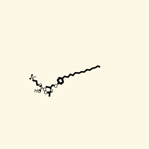 CCCCCCCCCCCCCCc1ccc(OCC(COP(O)OCCC[N+](C)(C)C)OC(C)=O)cc1